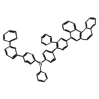 c1ccc(-c2cccc(-c3ccc(N(c4ccccc4)c4ccc(-c5ccc(-c6cc7ccc8ccccc8c7c7ccccc67)cc5-c5ccccc5)cc4)cc3)c2)cc1